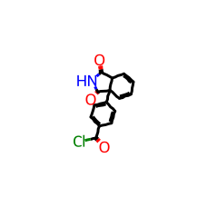 O=C(Cl)c1ccc(C23C=CC=CC2C(=O)NC3=O)cc1